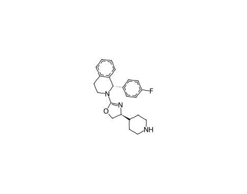 Fc1ccc([C@H]2c3ccccc3CCN2C2=N[C@@H](C3CCNCC3)CO2)cc1